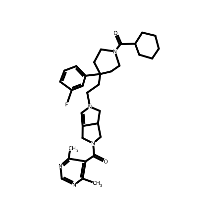 Cc1ncnc(C)c1C(=O)N1CC2=CN(CCC3(c4cccc(F)c4)CCN(C(=O)C4CCCCC4)CC3)CC2C1